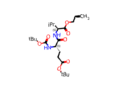 C=CCOC(=O)[C@@H](NC(=O)[C@H](CCC(=O)OC(C)(C)C)NC(=O)OC(C)(C)C)C(C)C